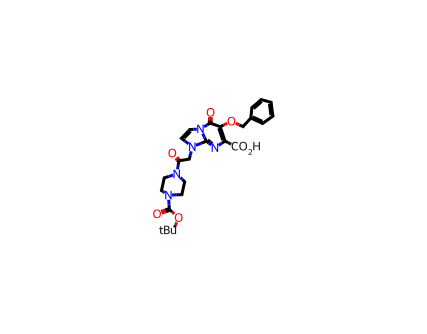 CC(C)(C)OC(=O)N1CCN(C(=O)Cn2ccn3c(=O)c(OCc4ccccc4)c(C(=O)O)nc23)CC1